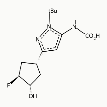 CC(C)(C)n1nc([C@@H]2C[C@H](O)[C@@H](F)C2)cc1NC(=O)O